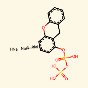 O=P(O)(O)OP(=O)(O)Oc1cccc2c1Cc1ccccc1O2.[NaH].[NaH].[NaH].[NaH]